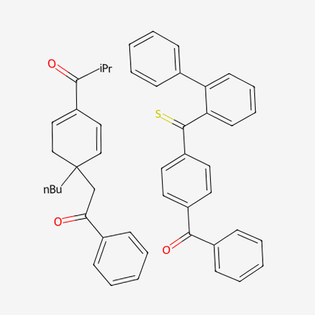 CCCCC1(CC(=O)c2ccccc2)C=CC(C(=O)C(C)C)=CC1.O=C(c1ccccc1)c1ccc(C(=S)c2ccccc2-c2ccccc2)cc1